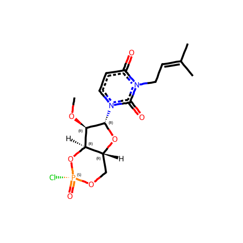 CO[C@@H]1[C@@H]2O[P@@](=O)(Cl)OC[C@H]2O[C@H]1n1ccc(=O)n(CC=C(C)C)c1=O